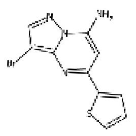 Nc1cc(-c2cccs2)nc2c(Br)cnn12